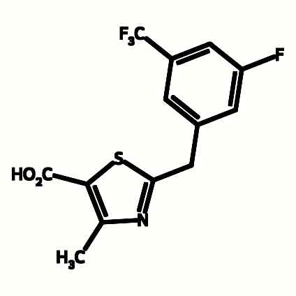 Cc1nc(Cc2cc(F)cc(C(F)(F)F)c2)sc1C(=O)O